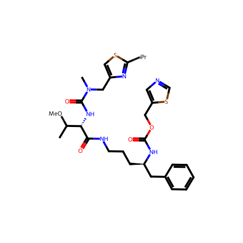 COC(C)[C@H](NC(=O)N(C)Cc1csc(C(C)C)n1)C(=O)NCCC[C@H](Cc1ccccc1)NC(=O)OCc1cncs1